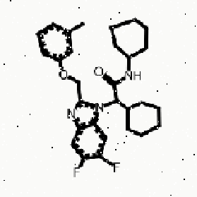 Cc1cccc(OCc2nc3cc(F)c(F)cc3n2C(C(=O)NC2CCCCC2)C2CCCCC2)c1